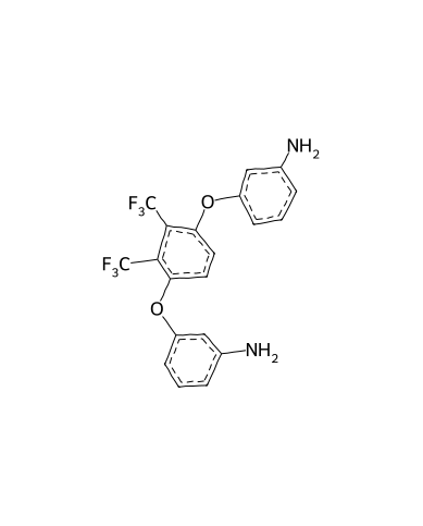 Nc1cccc(Oc2ccc(Oc3cccc(N)c3)c(C(F)(F)F)c2C(F)(F)F)c1